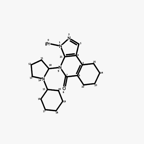 CC(C)n1ncc2c3c(c(=O)n(C4CCCN4C4CCCCC4)c21)CCCC3